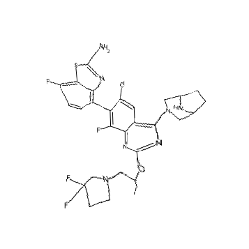 CC(CN1CCC(F)(F)C1)Oc1nc(N2CC3CCC(C2)N3)c2cc(Cl)c(-c3ccc(F)c4sc(N)nc34)c(F)c2n1